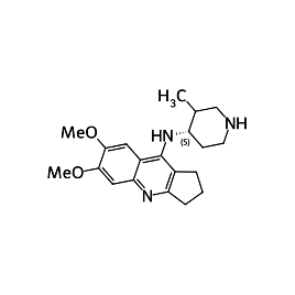 COc1cc2nc3c(c(N[C@H]4CCNCC4C)c2cc1OC)CCC3